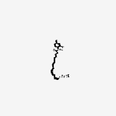 CCCCC/C=C\C/C=C\CCCCCCCC(=O)Nc1ccc(C)cc1F